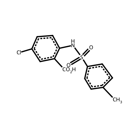 Cc1ccc(S(=O)(=O)Nc2ccc(Cl)cc2C(=O)O)cc1